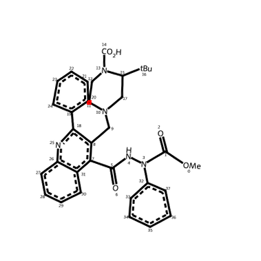 COC(=O)N(NC(=O)c1c(CN2CCN(C(=O)O)C(C(C)(C)C)C2)c(-c2ccccc2)nc2ccccc12)c1ccccc1